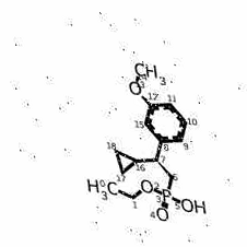 CCOP(=O)(O)C[C@H](c1cccc(OC)c1)C1CC1